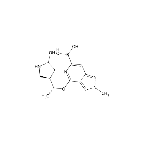 C[C@@H](Oc1nc(B(O)O)cc2nn(C)cc12)[C@H]1CNC(O)C1